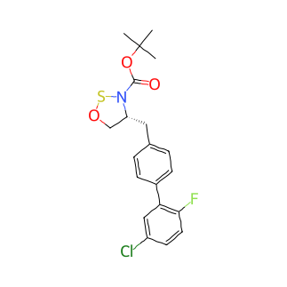 CC(C)(C)OC(=O)N1SOC[C@H]1Cc1ccc(-c2cc(Cl)ccc2F)cc1